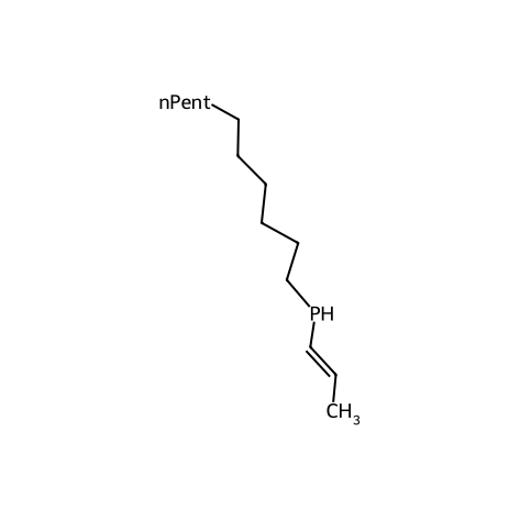 CC=CPCCCCCCCCCCC